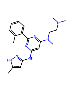 Cc1cc(Nc2cc(N(C)CCN(C)C)nc(-c3ccccc3C)n2)n[nH]1